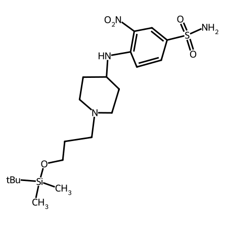 CC(C)(C)[Si](C)(C)OCCCN1CCC(Nc2ccc(S(N)(=O)=O)cc2[N+](=O)[O-])CC1